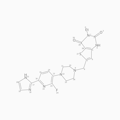 CCn1c(=O)[nH]c2cc(CN3CCN(c4ccc(-c5ncc[nH]5)nc4F)CC3)sc2c1=O